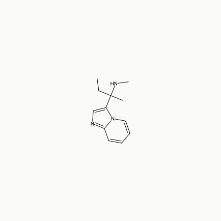 CCC(C)(NC)c1cnc2ccccn12